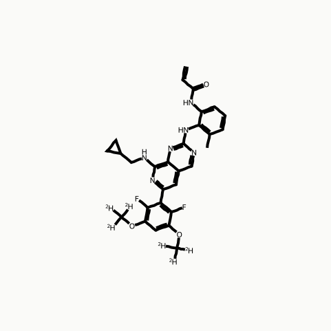 [2H]C([2H])([2H])Oc1cc(OC([2H])([2H])[2H])c(F)c(-c2cc3cnc(Nc4c(C)cccc4NC(=O)C=C)nc3c(NCC3CC3)n2)c1F